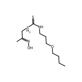 CCCCOCCCNC(=S)[SH2]CC(C)=NO